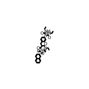 CCNC(=O)N(C(=O)NCC)c1ccc(CC(C(=O)NS(=O)(=O)c2ccc3ccccc3c2)C(=O)N(CC)CC)cc1